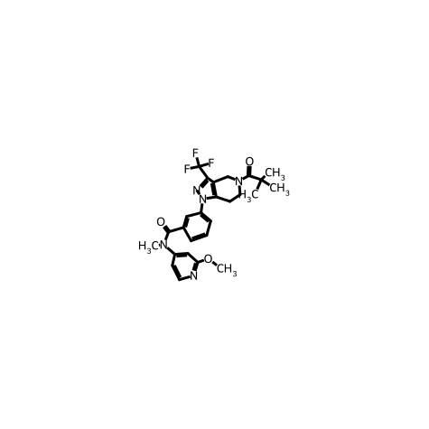 COc1cc(N(C)C(=O)c2cccc(-n3nc(C(F)(F)F)c4c3CCN(C(=O)C(C)(C)C)C4)c2)ccn1